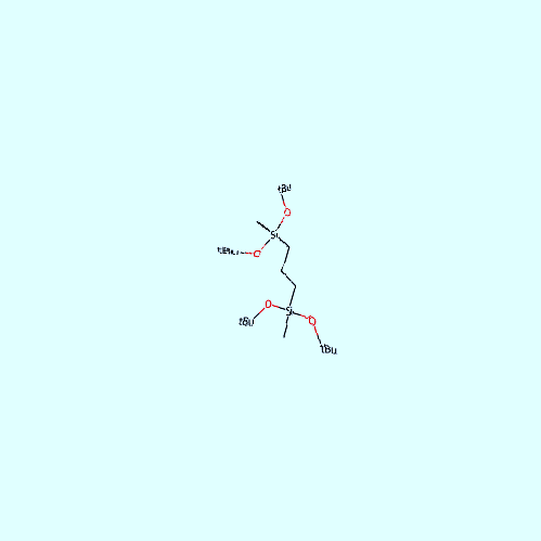 CC(C)(C)O[Si](C)(CCC[Si](C)(OC(C)(C)C)OC(C)(C)C)OC(C)(C)C